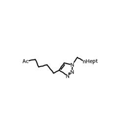 CCCCCCCCn1cc(CCCCC(C)=O)nn1